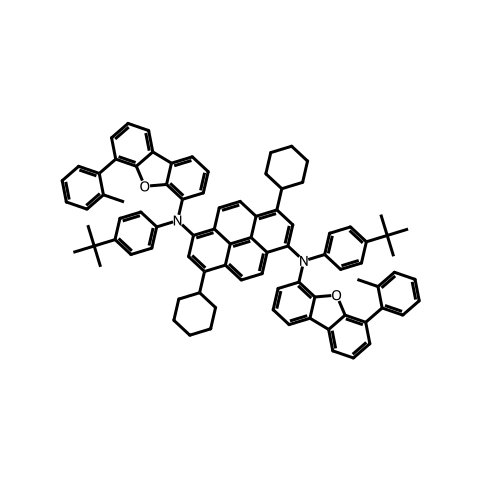 Cc1ccccc1-c1cccc2c1oc1c(N(c3ccc(C(C)(C)C)cc3)c3cc(C4CCCCC4)c4ccc5c(N(c6ccc(C(C)(C)C)cc6)c6cccc7c6oc6c(-c8ccccc8C)cccc67)cc(C6CCCCC6)c6ccc3c4c65)cccc12